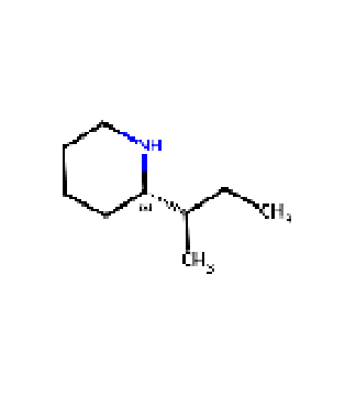 CCC(C)[C@@H]1CCCCN1